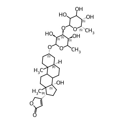 CC1OC(O[C@H]2CCC3(C)C4CCC5(C)[C@@H](C6=CC(=O)OC6)CC[C@]5(O)C4CC[C@@H]3C2)[C@@H](O)[C@@H](OC2O[C@@H](C)[C@@H](O)C(O)C2O)[C@H]1O